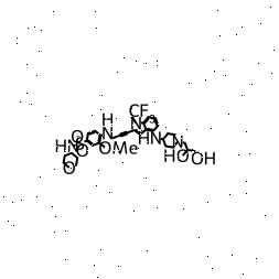 COc1cc(S(=O)(=O)NC2CCOCC2)ccc1NCC#Cc1cc2c(NC3CCN(CC(O)CO)CC3)cccc2n1CC(F)(F)F